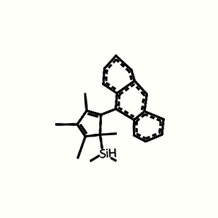 CC1=C(C)C(C)([SiH](C)C)C(c2c3ccccc3cc3ccccc23)=C1C